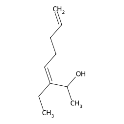 C=CCCC=C(CC)C(C)O